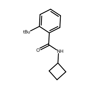 CC(C)(C)c1ccccc1C(=O)NC1CCC1